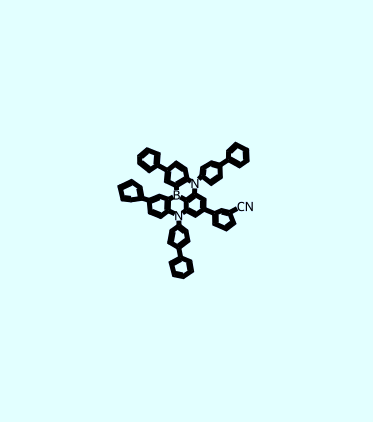 N#Cc1cccc(-c2cc3c4c(c2)N(c2ccc(-c5ccccc5)cc2)c2ccc(-c5ccccc5)cc2B4c2cc(-c4ccccc4)ccc2N3c2ccc(-c3ccccc3)cc2)c1